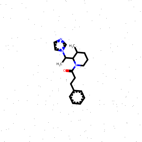 CC1CCCN(C(=O)CCc2ccccc2)C1C(C)n1ccnc1